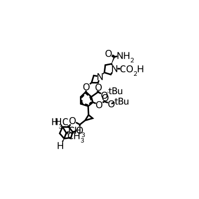 CC(C)(C)OC(=O)Oc1c(C2CC2C2OC3C[C@@H]4C[C@@H](C4(C)C)[C@]3(C)O2)ccc(OC2CN([C@H]3C[C@@H](C(N)=O)N(C(=O)O)C3)C2)c1C(=O)OC(C)(C)C